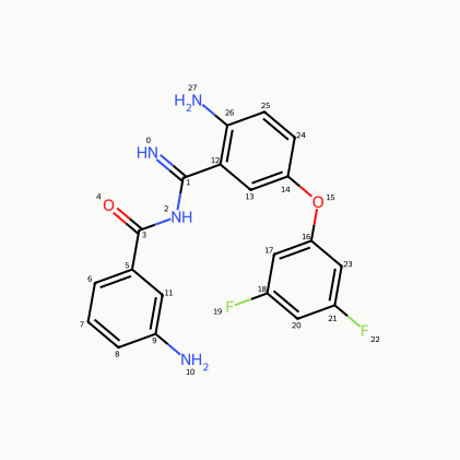 N=C(NC(=O)c1cccc(N)c1)c1cc(Oc2cc(F)cc(F)c2)ccc1N